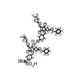 CC(C)(C)N(C(=O)O)C1CCC(CN2C(=O)N(COCC[Si](C)(C)C)C(=O)C23CC(OCc2ccccc2)C3)CC1.C[Si](C)(C)CCOCN1C(=O)N(CC2CCC(N)CC2)C2(CC(OCc3ccccc3)C2)C1=O